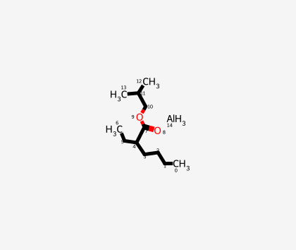 CCCCC(CC)C(=O)OCC(C)C.[AlH3]